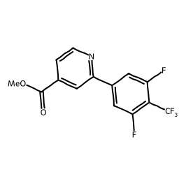 COC(=O)c1ccnc(-c2cc(F)c(C(F)(F)F)c(F)c2)c1